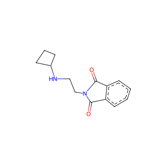 O=C1c2ccccc2C(=O)N1CCNC1CCC1